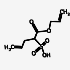 C=CCOC(=O)C(CC=C)S(=O)(=O)O